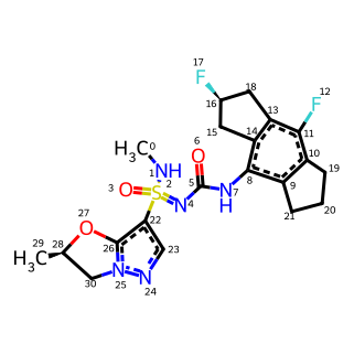 CN[S@](=O)(=NC(=O)Nc1c2c(c(F)c3c1C[C@@H](F)C3)CCC2)c1cnn2c1O[C@H](C)C2